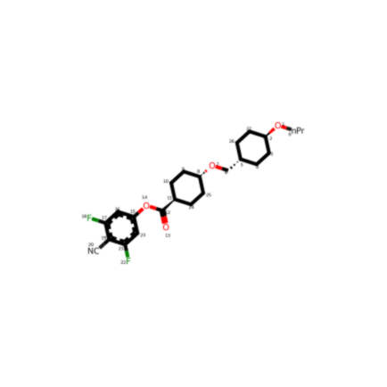 CCCO[C@H]1CC[C@H](CO[C@H]2CC[C@H](C(=O)Oc3cc(F)c(C#N)c(F)c3)CC2)CC1